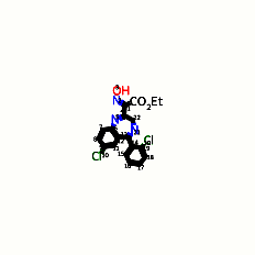 CCOC(=O)C(=NO)C1=Nc2ccc(Cl)cc2C(c2ccccc2Cl)=NC1